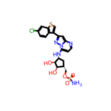 NS(=O)(=O)OC[C@H]1C[C@@H](Nc2ccnc3cc(-c4csc5cc(Cl)ccc45)nn23)[C@H](O)[C@@H]1O